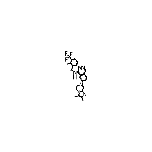 Cc1nc2n(c1C)CCN(c1ccc3cnnc(N[C@H](C)c4cccc(C(F)(F)F)c4C)c3c1)C2